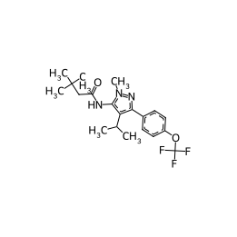 CC(C)c1c(-c2ccc(OC(F)(F)F)cc2)nn(C)c1NC(=O)CC(C)(C)C